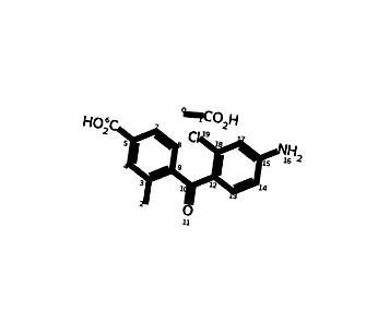 CC(=O)O.Cc1cc(C(=O)O)ccc1C(=O)c1ccc(N)cc1Cl